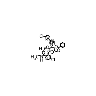 CCNC(=O)c1ncc(Cl)cc1SC1OC2COC(c3ccccc3)OC2C(n2cc(-c3nc(Cl)cs3)nn2)C1OC